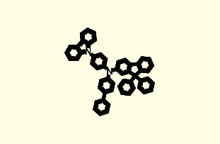 c1ccc(-c2ccc(N(c3ccc(-n4c5ccccc5c5ccccc54)cc3)c3ccc4c(c3)C(c3ccccc3)(c3ccccc3)c3ccccc3-4)cc2)cc1